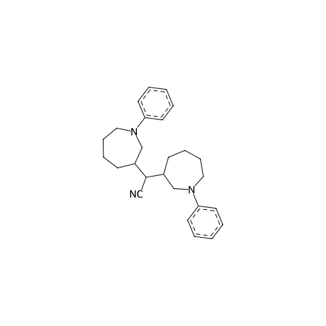 N#CC(C1CCCCN(c2ccccc2)C1)C1CCCCN(c2ccccc2)C1